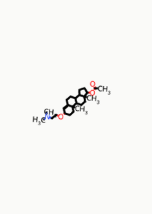 CC(=O)OC1CCC2C3CCC4=CC(OCCN(C)C)CCC4(C)C3CCC12C